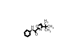 CC(C)(C)c1coc(C(=O)Nc2ccccc2)n1